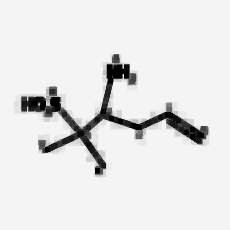 C=CCC(N)C(C)(C)S(=O)(=O)O